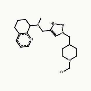 CC(C)CN1CCC(CN2C=C(CN(C)C3CCCc4cccnc43)NN2)CC1